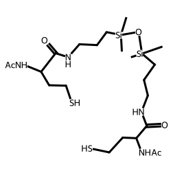 CC(=O)NC(CCS)C(=O)NCCC[Si](C)(C)O[Si](C)(C)CCCNC(=O)C(CCS)NC(C)=O